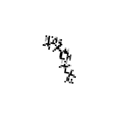 CNC(C)(C)CC(C)(C)c1cn(C(C)(C)CC(C)(C)C(C)=O)nn1